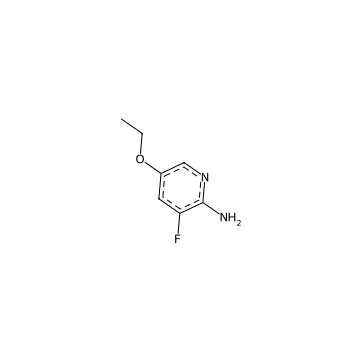 CCOc1cnc(N)c(F)c1